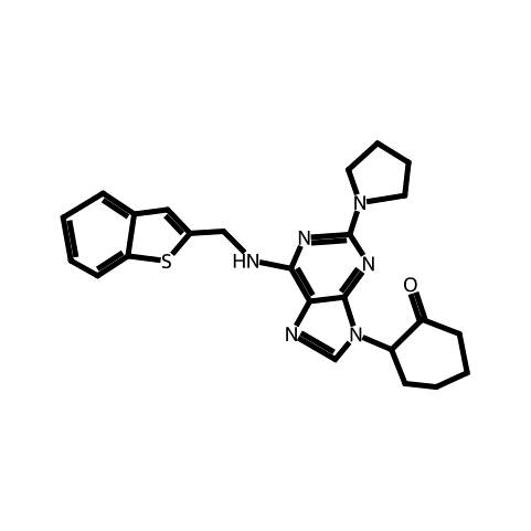 O=C1CCCCC1n1cnc2c(NCc3cc4ccccc4s3)nc(N3CCCC3)nc21